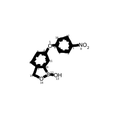 O=[N+]([O-])c1ccc(Oc2ccc3c(c2)B(O)OC3)cc1